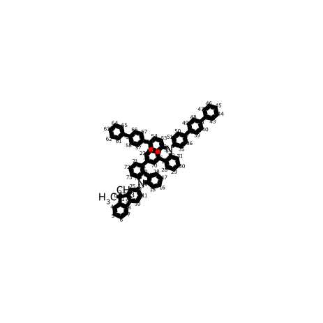 CC1(C)c2ccccc2-c2ccc(-n3c4ccccc4c4c(-c5cccc(-c6ccccc6N(c6ccc(-c7ccc(-c8ccccc8)cc7)cc6)c6ccc(-c7ccc(-c8ccccc8)cc7)cc6)c5)cccc43)cc21